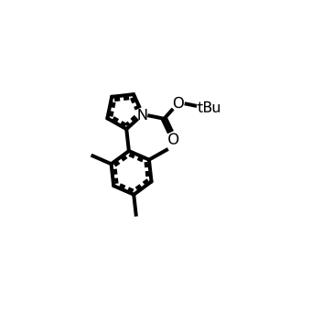 Cc1cc(C)c(-c2cccn2C(=O)OC(C)(C)C)c(C)c1